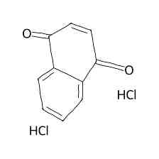 Cl.Cl.O=C1C=CC(=O)c2ccccc21